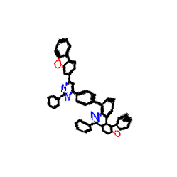 c1ccc(-c2nc(-c3ccc(-c4cccc5c4nc(-c4ccccc4)c4ccc6oc7ccccc7c6c45)cc3)cc(-c3ccc4c(c3)oc3ccccc34)n2)cc1